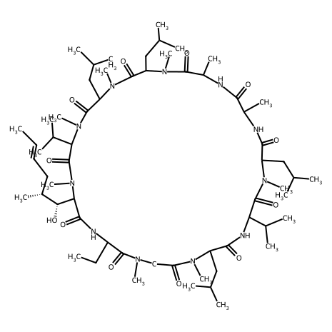 CC=CC[C@@H](C)[C@@H](O)C1C(=O)NC(CC)C(=O)N(C)CC(=O)N(C)C(CC(C)C)C(=O)NC(C(C)C)C(=O)N(C)C(CC(C)C)C(=O)NC(C)C(=O)NC(C)C(=O)N(C)C(CC(C)C)C(=O)N(C)C(CC(C)C)C(=O)N(C)C(C(C)C)C(=O)N1C